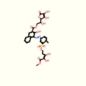 COC(=O)/C(O)=C(/O)CCOS(=O)(=O)c1cc(/N=N/c2c(O)c(C(=O)OCC(O)C3OC(=O)C(O)=C3O)cc3ccccc23)ccc1C